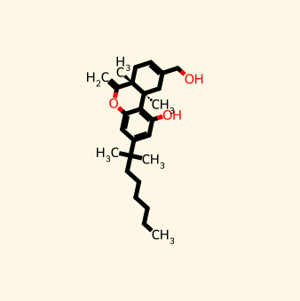 C=C1Oc2cc(C(C)(C)CCCCCC)cc(O)c2[C@]2(C)CC(CO)=CC[C@@]12C